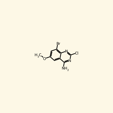 COc1cc(Br)c2nc(Cl)nc(N)c2c1